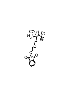 CCC(C)(CC)[C@H](C(=O)O)C(N)CCOCCON1C(=O)c2ccccc2C1=O